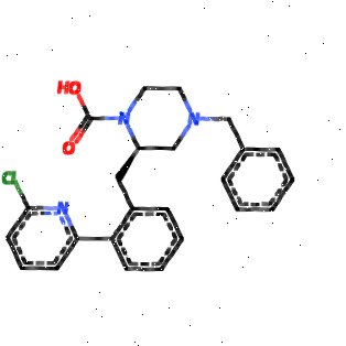 O=C(O)N1CCN(Cc2ccccc2)C[C@H]1Cc1ccccc1-c1cccc(Cl)n1